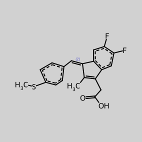 CSc1ccc(/C=C2\C(C)=C(CC(=O)O)c3cc(F)c(F)cc32)cc1